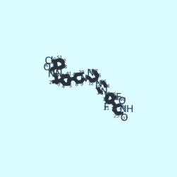 CC1(C)c2ccc(C3CCN(c4cc(N5CCN(c6cc(F)c(C7CCC(=O)NC7=O)c(F)c6)CC5)ccn4)CC3)cc2-n2c1nc(=O)c1c(Cl)cccc12